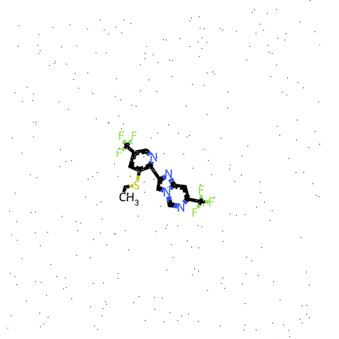 CCSc1cc(C(F)(F)F)cnc1-c1cn2cnc(C(F)(F)F)cc2n1